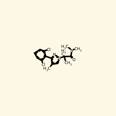 Cc1cn(C(C)(C)C(=O)N(C)C)nc1-c1c(Cl)cccc1Cl